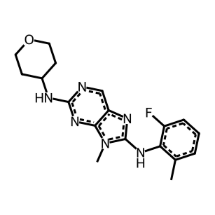 Cc1cccc(F)c1Nc1nc2cnc(NC3CCOCC3)nc2n1C